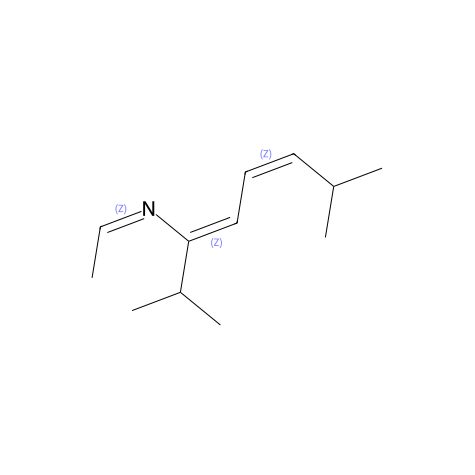 C\C=N/C(=C\C=C/C(C)C)C(C)C